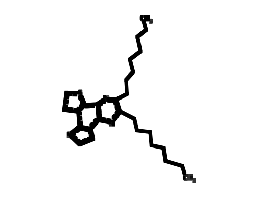 CCCCCCCCc1nc2c3ccsc3c3ccsc3c2nc1CCCCCCCC